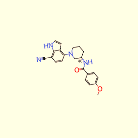 COc1ccc(C(=O)N[C@@H]2CCCN(c3ccc(C#N)c4[nH]ccc34)C2)cc1